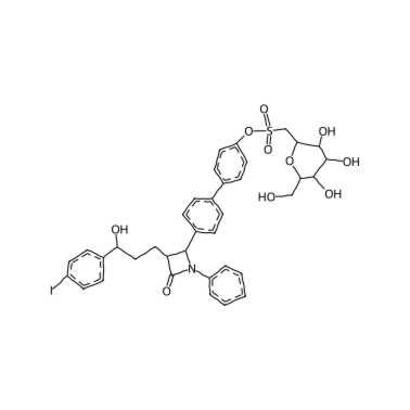 O=C1C(CCC(O)c2ccc(I)cc2)C(c2ccc(-c3ccc(OS(=O)(=O)CC4OC(CO)C(O)C(O)C4O)cc3)cc2)N1c1ccccc1